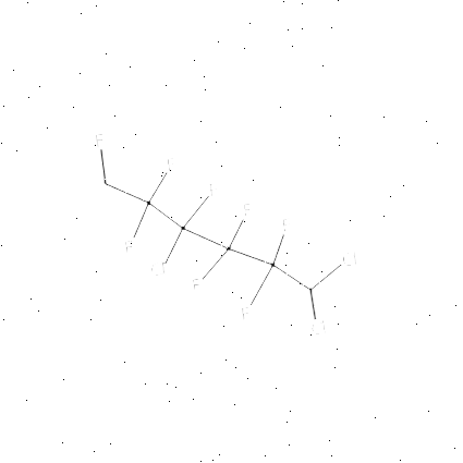 FCC(F)(F)C(F)(Cl)C(F)(F)C(F)(F)C(Cl)Cl